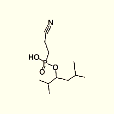 CC(C)CC(OP(=O)(O)CCC#N)C(C)C